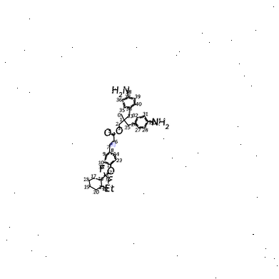 [CH2]C(COC(=O)/C=C/c1ccc(OC(F)(F)C2CCCCC2CC)cc1)(Cc1ccc(N)cc1)Cc1ccc(N)cc1